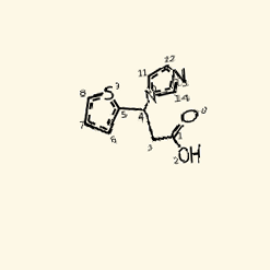 O=C(O)CC(c1cccs1)n1ccnc1